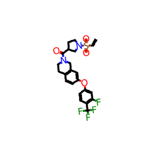 C=CS(=O)(=O)N1CCC(C(=O)N2CCc3ccc(Oc4ccc(C(F)(F)F)c(F)c4)cc3C2)C1